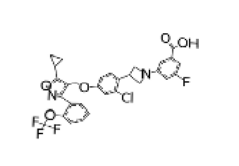 O=C(O)c1cc(F)cc(N2CC(c3ccc(OCc4c(-c5ccccc5OC(F)(F)F)noc4C4CC4)cc3Cl)C2)c1